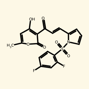 Cc1cc(O)c(C(=O)/C=C/c2cccn2S(=O)(=O)c2ccc(F)cc2F)c(=O)o1